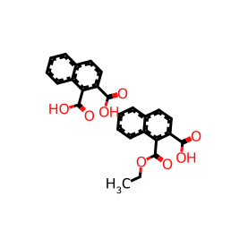 CCOC(=O)c1c(C(=O)O)ccc2ccccc12.O=C(O)c1ccc2ccccc2c1C(=O)O